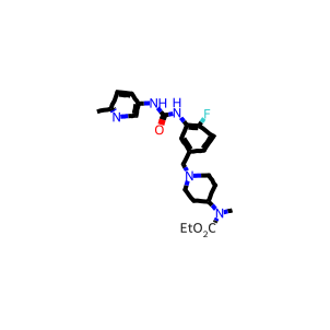 CCOC(=O)N(C)C1CCN(Cc2ccc(F)c(NC(=O)Nc3ccc(C)nc3)c2)CC1